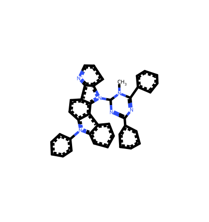 CN1C(c2ccccc2)=NC(c2ccccc2)=NC1n1c2cccnc2c2ccc3c(c4ccccc4n3-c3ccccc3)c21